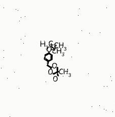 CC1(C=O)COC(Cc2ccc(O[Si](C)(C)C)cc2)OC1